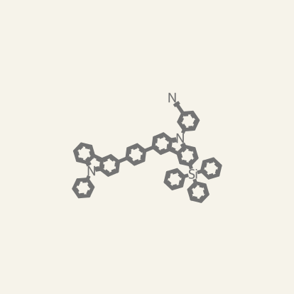 N#Cc1cccc(-n2c3ccc(-c4ccc(-c5ccc6c(c5)c5ccccc5n6-c5ccccc5)cc4)cc3c3cc([Si](c4ccccc4)(c4ccccc4)c4ccccc4)ccc32)c1